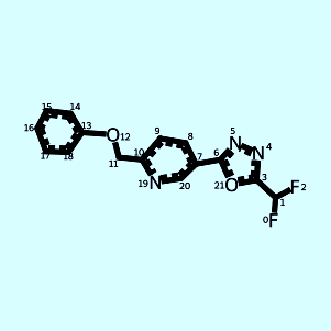 FC(F)c1nnc(-c2ccc(COc3ccccc3)nc2)o1